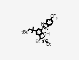 CCO[Si](C)(C)C(CC)c1cc(C(C)(C)CC(C)(C)C)cc(-n2nc3ccc(C(F)(F)F)cc3n2)c1O